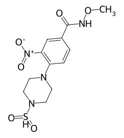 CONC(=O)c1ccc(N2CCN([SH](=O)=O)CC2)c([N+](=O)[O-])c1